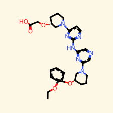 CCOc1ccccc1O[C@@H]1CCCN(c2cncc(Nc3nccc(N4CCC[C@H](OCC(=O)O)C4)n3)n2)C1